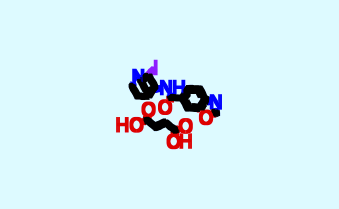 O=C(NC1C2CCN(CC2)C1I)c1ccc2ncoc2c1.O=C(O)C=CC(=O)O